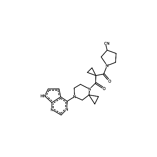 N#CC1CCN(C(=O)C2(C(=O)N3CCN(c4ncnc5[nH]ccc45)CC34CC4)CC2)C1